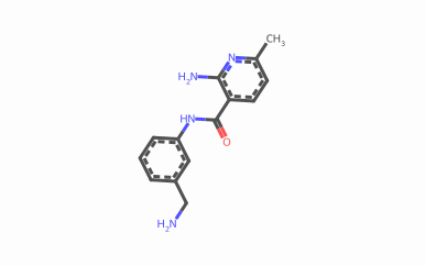 Cc1ccc(C(=O)Nc2cccc(CN)c2)c(N)n1